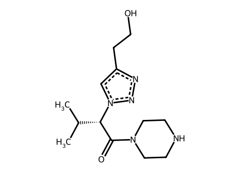 CC(C)[C@@H](C(=O)N1CCNCC1)n1cc(CCO)nn1